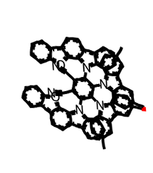 Cc1ccc2c(c1)c1cc(C)ccc1n2-c1c(-n2c3ccc(C)cc3c3cc(C)ccc32)c(-n2c3ccccc3c3ccc4c5ccccc5oc4c32)c(C#N)c(C#N)c1-n1c2ccccc2c2ccc3c4ccccc4oc3c21